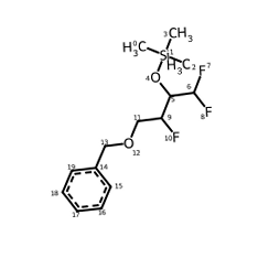 C[Si](C)(C)OC(C(F)F)C(F)COCc1ccccc1